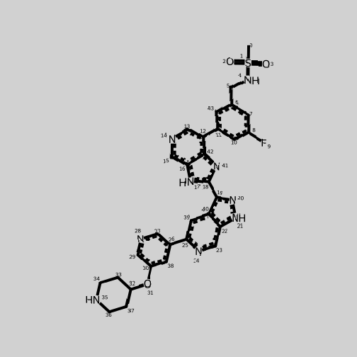 CS(=O)(=O)NCc1cc(F)cc(-c2cncc3[nH]c(-c4n[nH]c5cnc(-c6cncc(OC7CCNCC7)c6)cc45)nc23)c1